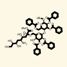 CCCCO[C@@H]1OC(COC(=O)c2ccccc2)[C@@H](O[C@@H]2OC(CO[C@@](O)(C[C@@H](O)[C@@H](N)C[C@H](O)[C@H](O)CO)C(=O)OC)[C@H](O)C(OC(=O)c3ccccc3)[C@@H]2OC(=O)c2ccccc2)C(OC(=O)c2ccccc2)[C@@H]1OC(=O)c1ccccc1